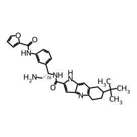 CC(C)(C)C1CCc2nc3cc(C(=O)N[C@H](CN)c4cccc(NC(=O)c5ccco5)c4)[nH]c3cc2C1